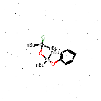 CCC[CH2][Sn]([Cl])([CH2]CCC)[O][Sn]([CH2]CCC)([CH2]CCC)[O]c1ccccc1